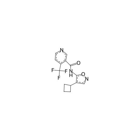 O=C(Nc1oncc1C1CCC1)c1cnccc1C(F)(F)F